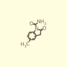 Cc1ccc2c(c1)CC(=O)N2C(N)=O